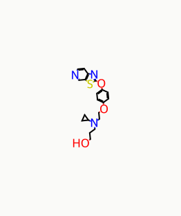 OCCCN(CCOc1ccc(Oc2nc3ccncc3s2)cc1)C1CC1